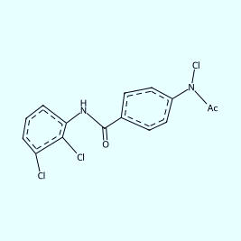 CC(=O)N(Cl)c1ccc(C(=O)Nc2cccc(Cl)c2Cl)cc1